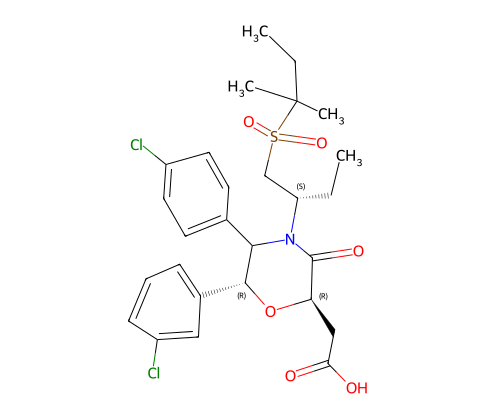 CC[C@@H](CS(=O)(=O)C(C)(C)CC)N1C(=O)[C@@H](CC(=O)O)O[C@H](c2cccc(Cl)c2)C1c1ccc(Cl)cc1